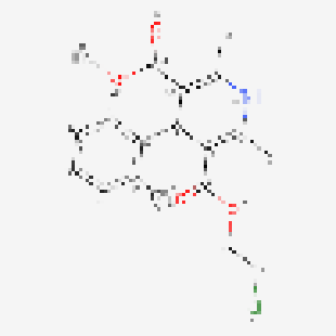 CC1=C(C(=O)OCCCl)C(c2ccccc2C(F)(F)F)C(C(=O)OC(C)C)=C(C)N1